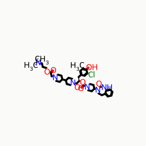 Cc1cc(C[C@@H](OC(=O)N2CCC(N3CCc4ccccc4NC3=O)CC2)C(=O)N2CCC(C3CCN(CC(=O)OCCCN(C)C)CC3)CC2)cc(Cl)c1O